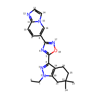 CCn1nc(-c2nc(-c3ccc4nccn4c3)no2)c2c1CC(C)(C)CC2